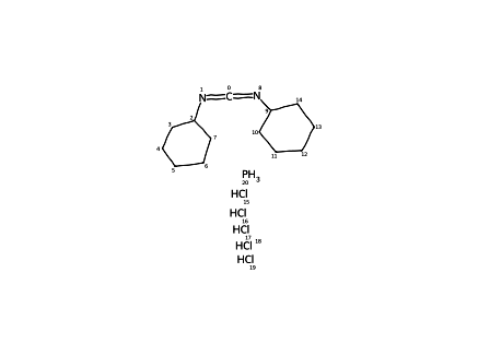 C(=NC1CCCCC1)=NC1CCCCC1.Cl.Cl.Cl.Cl.Cl.P